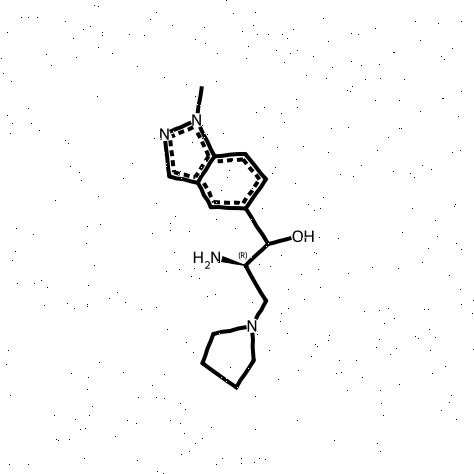 Cn1ncc2cc(C(O)[C@H](N)CN3CCCC3)ccc21